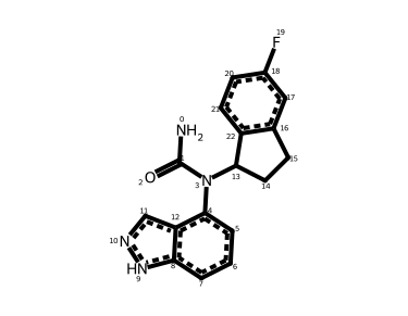 NC(=O)N(c1cccc2[nH]ncc12)C1CCc2cc(F)ccc21